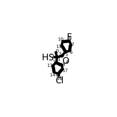 CC(S)(C(=O)c1ccc(F)cc1)c1ccc(Cl)cc1